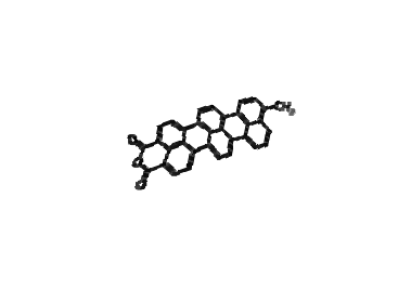 Cc1ccc2c3ccc4c5ccc6c7c(ccc(c8ccc(c9cccc1c92)c3c84)c75)C(=O)OC6=O